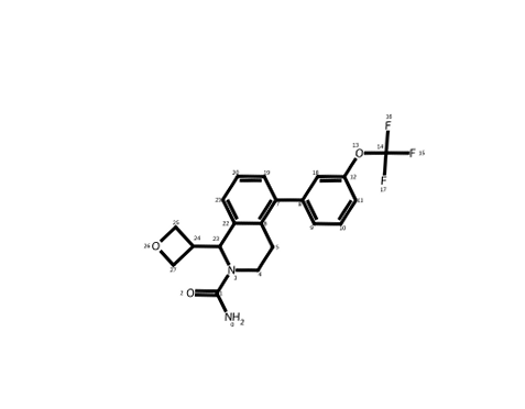 NC(=O)N1CCc2c(-c3cccc(OC(F)(F)F)c3)cccc2C1C1COC1